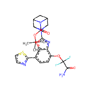 CC(C)(C)OC(=O)N1C2CC1CN(c1nc3c(OC(F)(F)C(N)=O)ccc(-c4nccs4)c3o1)C2